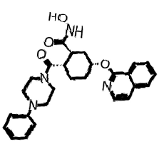 O=C(NO)[C@H]1C[C@H](Oc2nccc3ccccc23)CC[C@@H]1C(=O)N1CCN(c2ccccc2)CC1